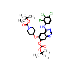 CC(C)(C)OC(=O)Oc1cc2ncnc(Nc3ccc(Cl)c(Cl)c3F)c2cc1OC1CCN(C(=O)OC(C)(C)C)CC1